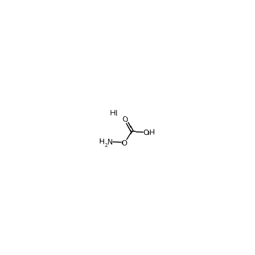 I.NOC(=O)O